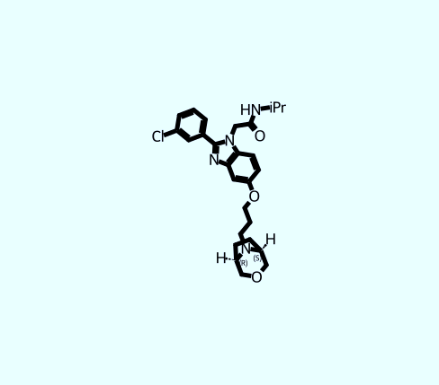 CC(C)NC(=O)Cn1c(-c2cccc(Cl)c2)nc2cc(OCCCN3[C@@H]4CC[C@H]3COC4)ccc21